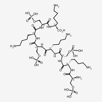 NCCCC[C@H](NC(=O)[C@H](COP(=O)(O)O)NC(=O)[C@H](CCCCN)NC(=O)[C@H](COP(=O)(O)O)NC(=O)[C@H](CCCCN)NC(=O)[C@H](COP(=O)(O)O)NC(=O)[C@H](CCCCN)NC(=O)[C@@H](N)COP(=O)(O)O)C(=O)O